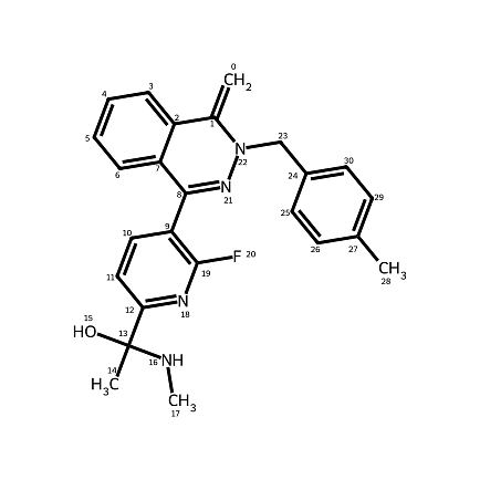 C=C1c2ccccc2C(c2ccc(C(C)(O)NC)nc2F)=NN1Cc1ccc(C)cc1